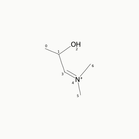 CC(O)C=[N+](C)C